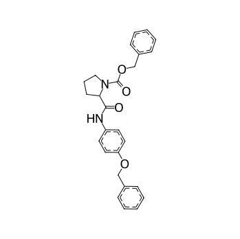 O=C(Nc1ccc(OCc2ccccc2)cc1)C1CCCN1C(=O)OCc1ccccc1